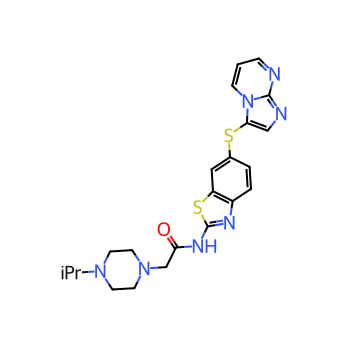 CC(C)N1CCN(CC(=O)Nc2nc3ccc(Sc4cnc5ncccn45)cc3s2)CC1